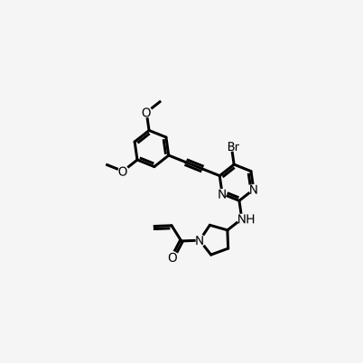 C=CC(=O)N1CCC(Nc2ncc(Br)c(C#Cc3cc(OC)cc(OC)c3)n2)C1